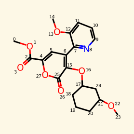 COC(=O)c1cc(-c2ncccc2OC)c(OC2CCCC(OC)C2)c(=O)o1